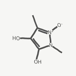 Cc1c(O)c(O)n(C)[n+]1[O-]